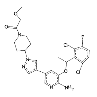 COCC(=O)N1CCC(n2cc(-c3cnc(N)c(OC(C)c4c(Cl)ccc(F)c4Cl)c3)cn2)CC1